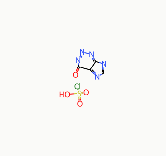 O=C1N=NN=C2N=CN=C12.O=S(=O)(O)Cl